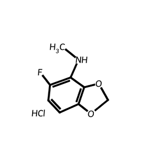 CNc1c(F)ccc2c1OCO2.Cl